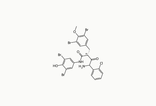 COc1c(Br)cc(C[C@@H](C(=O)Nc2cc(Br)c(O)c(Br)c2)C(=O)C(N)c2ccccc2Cl)cc1Br